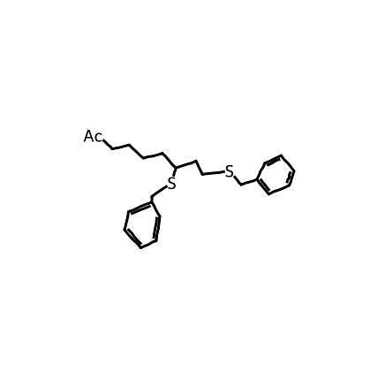 CC(=O)CCCCC(CCSCc1ccccc1)SCc1ccccc1